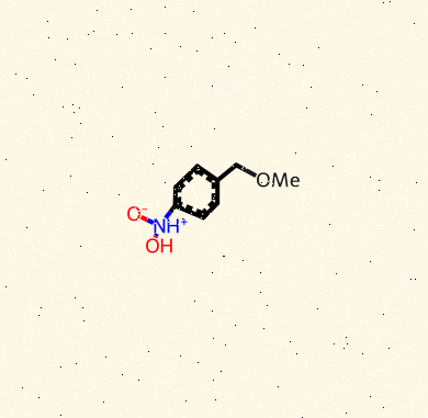 COCc1ccc([NH+]([O-])O)cc1